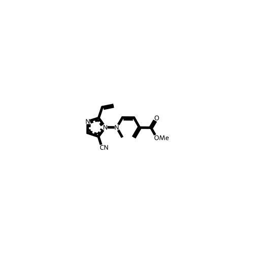 C=Cc1ncc(C#N)n1N(C)/C=C\C(=C)C(=O)OC